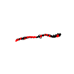 CCCCCCCCCCCCCCCCCCCCCCCCCCCCCOC(=O)CCCCCCCCCCCCCCCCCCCCCCC